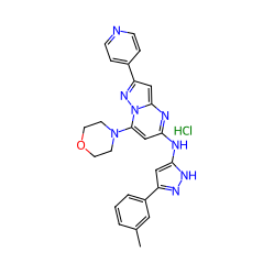 Cc1cccc(-c2cc(Nc3cc(N4CCOCC4)n4nc(-c5ccncc5)cc4n3)[nH]n2)c1.Cl